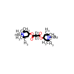 CCCCN1C(C)(C)CC(OC(=O)C(CC)(CC)C(=O)OC2CC(C)(C)N(CCCC)C(C)(C)C2)CC1(C)C